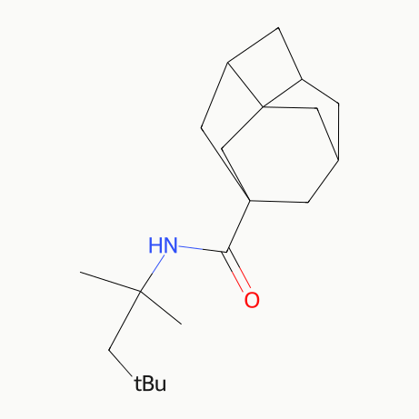 CC(C)(C)CC(C)(C)NC(=O)C12CC3CC4CC(C1)C4(C3)C2